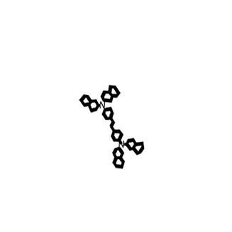 C1=CC(N(c2ccc(/C=C/c3ccc(N(c4ccc5ccccc5c4)c4ccc5ccccc5c4)cc3)cc2)c2ccc3ccccc3c2)Cc2ccccc21